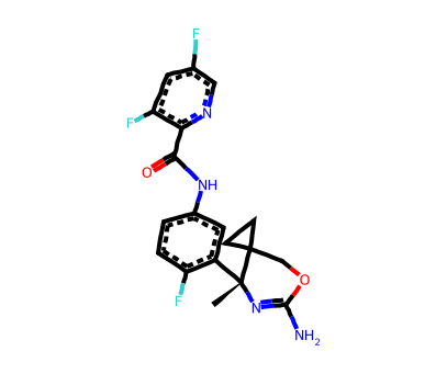 C[C@]1(c2cc(NC(=O)c3ncc(F)cc3F)ccc2F)N=C(N)OCC12CC2